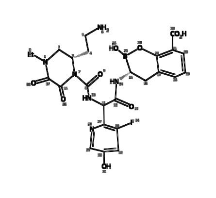 CCN1C[C@H](CCN)N(C(=O)NC(C(=O)N[C@H]2Cc3cccc(C(=O)O)c3OB2O)c2ncc(O)cc2F)C(=O)C1=O